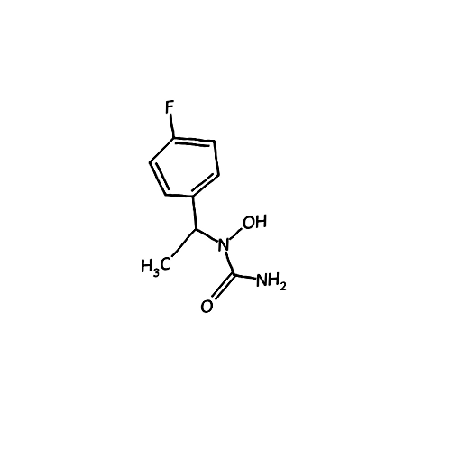 CC(c1ccc(F)cc1)N(O)C(N)=O